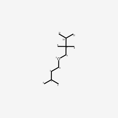 CC(C)CCOCC(C)(C)C(C)C